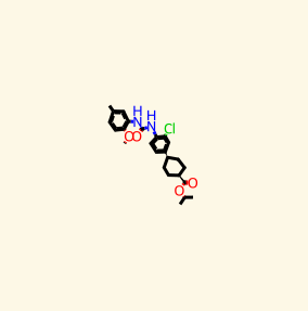 COc1ccc(C)cc1NC(=O)Nc1ccc([C@H]2CC[C@H](C(=O)OC(C)C)CC2)cc1Cl